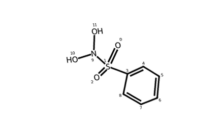 O=S(=O)(c1ccccc1)N(O)O